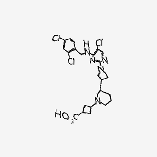 O=C(O)C1CC(N2CCCC(C3CN(c4ncc(Cl)c(NCc5ccc(Cl)cc5Cl)n4)C3)C2)C1